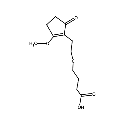 COC1=C(CCCCCCC(=O)O)C(=O)CC1